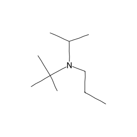 CCCN(C(C)C)C(C)(C)C